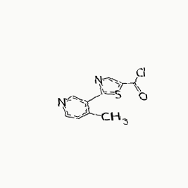 Cc1ccncc1-c1ncc(C(=O)Cl)s1